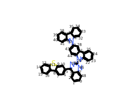 c1ccc2c(-c3ccc4c(c3)sc3ccccc34)nc(-n3c4ccccc4c4cc(-n5c6ccccc6c6ccccc65)ccc43)nc2c1